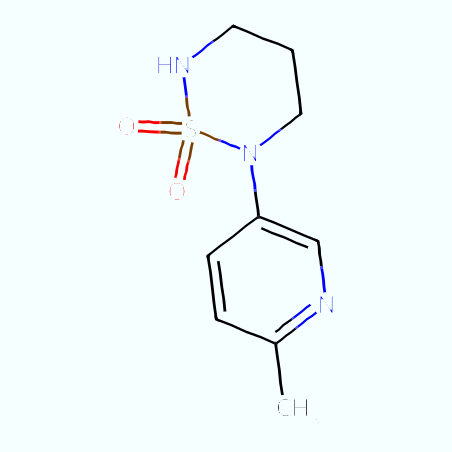 Cc1ccc(N2CCCNS2(=O)=O)cn1